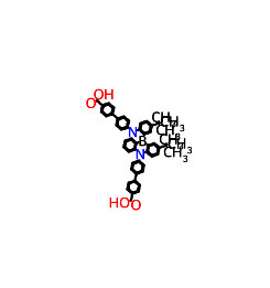 CC(C)(C)c1ccc2c(c1)B1c3cc(C(C)(C)C)ccc3N(c3ccc(-c4ccc(C(=O)O)cc4)cc3)c3cccc(c31)N2c1ccc(-c2ccc(C(=O)O)cc2)cc1